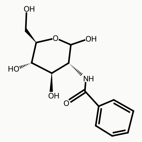 O=C(N[C@H]1C(O)O[C@H](CO)[C@@H](O)[C@@H]1O)c1ccccc1